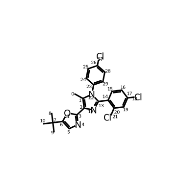 Cc1c(-c2ncc(C(C)(C)C)o2)nc(-c2ccc(Cl)cc2Cl)n1-c1ccc(Cl)cc1